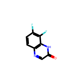 O=c1cnc2ccc(F)c(F)c2[nH]1